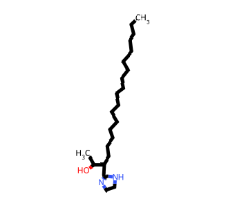 CCCCCCCCCCCCCCCCCC(C1=NCCN1)C(C)O